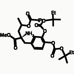 CCC(C)(C)OC(=O)Oc1ccc(C[C@](N)(CC(C)OC(=O)C(C)C)C(=O)OC)cc1OC(=O)OC(C)(C)CC